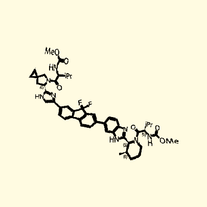 COC(=O)NC(C(=O)N1CC2(CC2)C[C@H]1c1nc(-c2ccc3c(c2)C(F)(F)c2cc(-c4ccc5nc([C@@H]6[C@H](C)CCCN6C(=O)[C@@H](NC(=O)OC)C(C)C)[nH]c5c4)ccc2-3)c[nH]1)C(C)C